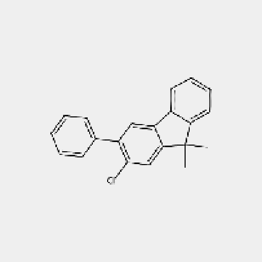 CC1(C)c2ccccc2-c2cc(-c3ccccc3)c(Cl)cc21